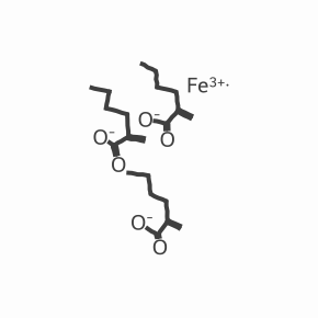 C=C(CCCC)C(=O)[O-].C=C(CCCC)C(=O)[O-].C=C(CCCC)C(=O)[O-].[Fe+3]